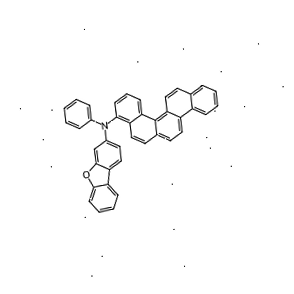 c1ccc(N(c2ccc3c(c2)oc2ccccc23)c2cccc3c2ccc2ccc4c5ccccc5ccc4c23)cc1